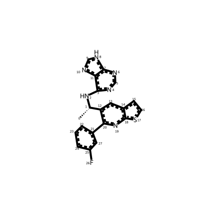 C[C@H](Nc1ncnc2[nH]cnc12)c1cc2ccsc2nc1-c1cccc(F)c1